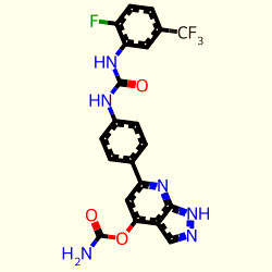 NC(=O)Oc1cc(-c2ccc(NC(=O)Nc3cc(C(F)(F)F)ccc3F)cc2)nc2[nH]ncc12